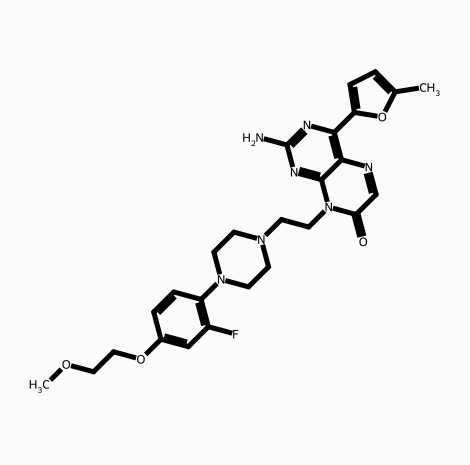 COCCOc1ccc(N2CCN(CCn3c(=O)cnc4c(-c5ccc(C)o5)nc(N)nc43)CC2)c(F)c1